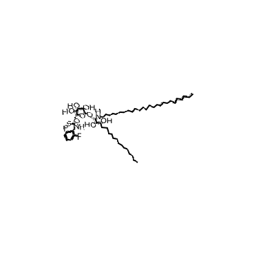 CCCCCCCCCCCCCCCCCCCCCCCCCCN[C@@H](CO[C@H]1O[C@H](COC(=S)Nc2c(F)cccc2F)[C@H](O)[C@H](O)[C@H]1O)[C@H](O)[C@H](O)CCCCCCCCCCCCCC